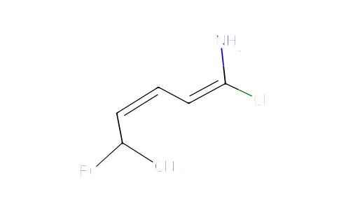 CCC(C)/C=C\C=C(/N)Cl